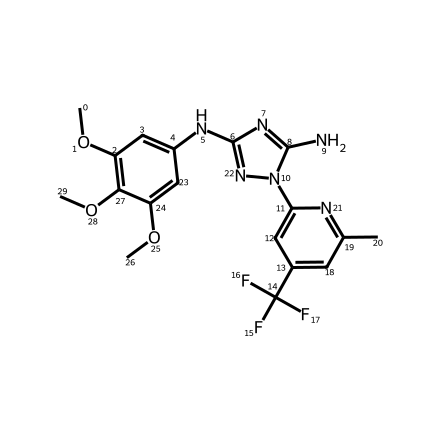 COc1cc(Nc2nc(N)n(-c3cc(C(F)(F)F)cc(C)n3)n2)cc(OC)c1OC